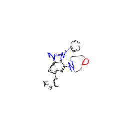 FC(F)(F)c1cc(N2CCOCC2)c2c(c1)ncn2-c1ccccc1